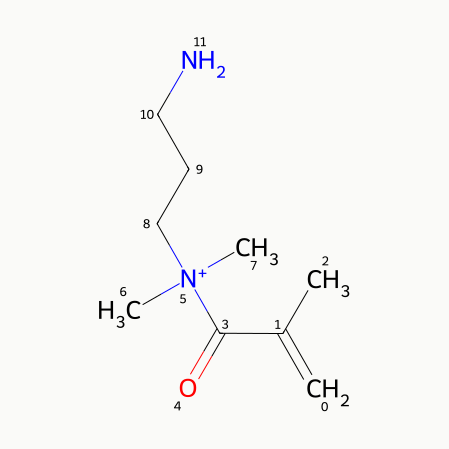 C=C(C)C(=O)[N+](C)(C)CCCN